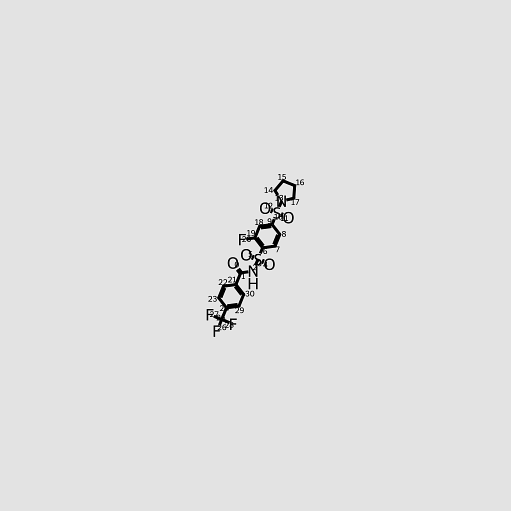 O=C(NS(=O)(=O)c1ccc(S(=O)(=O)N2CCCC2)cc1F)c1ccc(C(F)(F)F)cc1